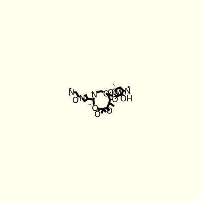 CO[C@]1(C)CCCN(C)C(C2CN(C(=O)CN(C)C)C2)[C@@H](C)OC(=O)C(C)(C)C(=O)C(C)[C@H]1O[C@@H]1O[C@H](C)C[C@H](N(C)C)[C@H]1O